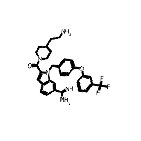 N=C(N)c1ccc2cc(C(=O)N3CCC(CCN)CC3)n(Cc3ccc(Oc4cccc(C(F)(F)F)c4)cc3)c2c1